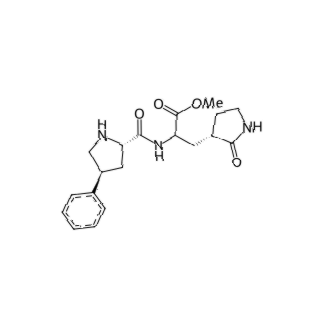 COC(=O)C(C[C@@H]1CCNC1=O)NC(=O)[C@@H]1C[C@@H](c2ccccc2)CN1